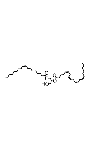 CCCCC/C=C\C/C=C\C/C=C\C/C=C\CCCC(=O)O[C@@H](CO)COC(=O)CCCCCCC/C=C\CCCCCCCC